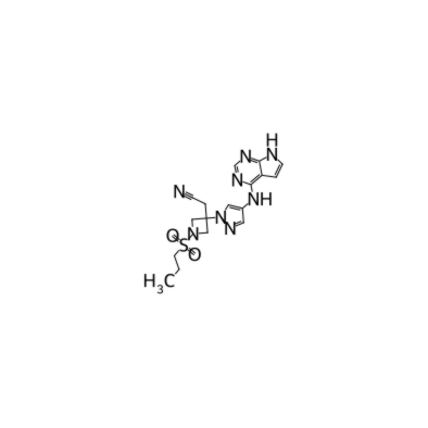 CCCS(=O)(=O)N1CC(CC#N)(n2cc(Nc3ncnc4[nH]ccc34)cn2)C1